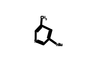 CCCCc1cncc(C)c1